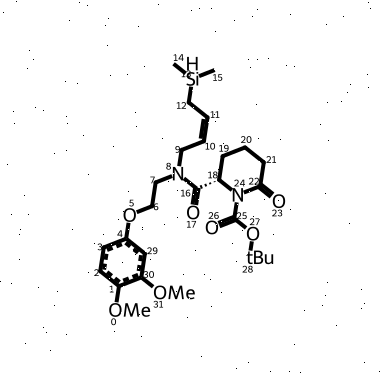 COc1ccc(OCCN(C/C=C\C[SiH](C)C)C(=O)[C@@H]2CCCC(=O)N2C(=O)OC(C)(C)C)cc1OC